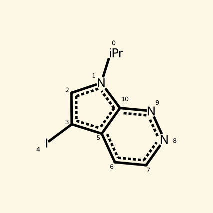 CC(C)n1cc(I)c2ccnnc21